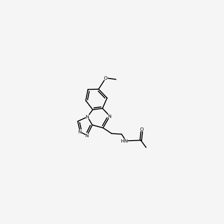 COc1ccc2c(c1)nc(CCNC(C)=O)c1nncn12